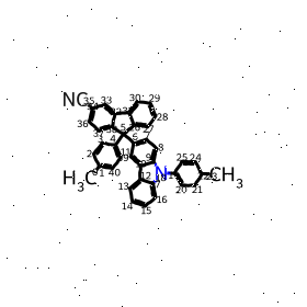 Cc1ccc(C2(c3ccc4c(c3)c3ccccc3n4C3=CCC(C)C=C3)c3ccccc3-c3cc(C#N)ccc32)cc1